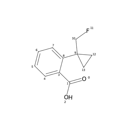 O=C(O)c1ccccc1C1(CF)CC1